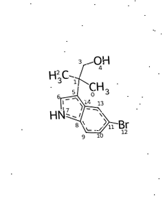 CC(C)(CO)c1c[nH]c2ccc(Br)cc12